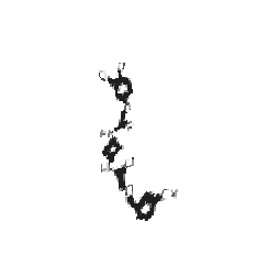 N#Cc1cccc(COCC(=O)NC23CC(NC(=O)COc4ccc(Cl)c(Cl)c4)(C2)C3)c1